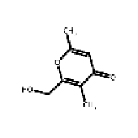 Cc1cc(=O)c(C)c(CO)o1